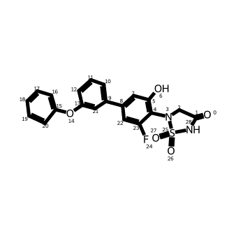 O=C1CN(c2c(O)cc(-c3cccc(Oc4ccccc4)c3)cc2F)S(=O)(=O)N1